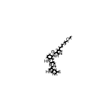 CCOCCOCCCc1cncc(C(=O)N[C@H]2CCC[C@@H](Nc3nc(-c4c[nH]c5ncc(F)cc45)ncc3F)C2)c1